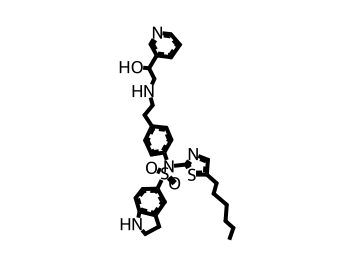 CCCCCCc1cnc(N(c2ccc(CCNCC(O)c3cccnc3)cc2)S(=O)(=O)c2ccc3c(c2)CCN3)s1